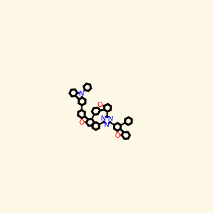 c1ccc(-c2nc(-c3cc(-c4ccccc4)c4c(c3)oc3ccccc34)nc(-c3cccc4oc5ccc(-c6cccc7oc8ccc(-c9ccc%10c(c9)c9ccccc9n%10-c9ccccc9)cc8c67)cc5c34)n2)cc1